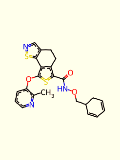 Cc1ncccc1Oc1sc(C(=O)NOCC2C=CC=CC2)c2c1-c1sncc1CC2